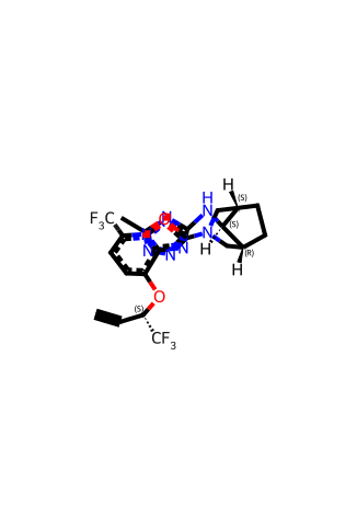 C#C[C@H](Oc1ccc(C(F)(F)F)n2nc(N[C@@H]3[C@@H]4CC[C@H]3CN(c3nnc(C)o3)C4)nc12)C(F)(F)F